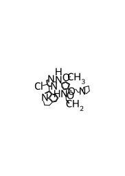 C=CC(=O)Nc1cc(Nc2ncc(Cl)c(-c3cn4c5c(cccc35)CCC4)n2)c(OC)cc1OCCN1CCCC1